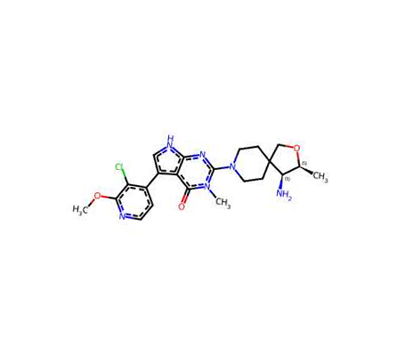 COc1nccc(-c2c[nH]c3nc(N4CCC5(CC4)CO[C@@H](C)[C@H]5N)n(C)c(=O)c23)c1Cl